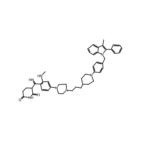 CNc1cc(N2CCN(CCCC3CCN(c4ccc(Cn5c(-c6ccccc6)c(C)c6ccccc65)cc4)CC3)CC2)ccc1C(=N)C1CCC(=O)NC1=O